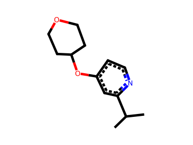 CC(C)c1cc(OC2CCOCC2)ccn1